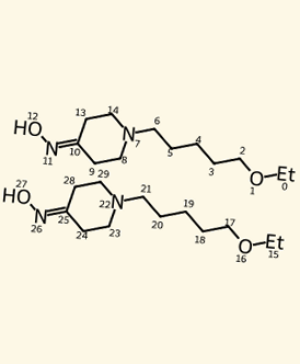 CCOCCCCCN1CCC(=NO)CC1.CCOCCCCCN1CCC(=NO)CC1